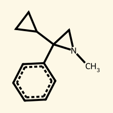 CN1CC1(c1ccccc1)C1CC1